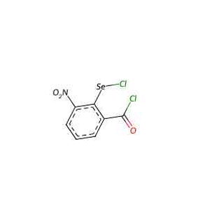 O=C(Cl)c1cccc([N+](=O)[O-])c1[Se]Cl